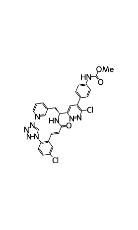 COC(=O)Nc1ccc(-c2cc([C@H](Cc3cccnc3)NC(=O)/C=C/c3cc(Cl)ccc3-n3cnnn3)nnc2Cl)cc1